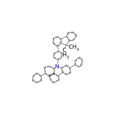 CC1(C)c2ccccc2-c2cccc(-c3ccc(N(c4ccc(-c5ccccc5)cc4)c4cc(-c5ccccc5)ccc4-c4ccccc4)cc3)c21